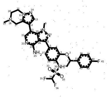 CC(Oc1cc(-c2nn(C)c3c(-c4cnn5c4CN(C)CC5)cnc(N)c23)ccc1NS(=O)(=O)C(F)F)c1ccc(F)cc1